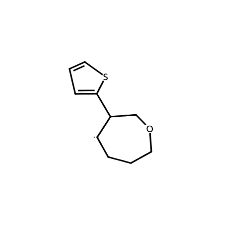 [CH]1CCCOCC1c1cccs1